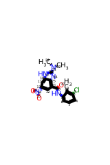 Cc1c(Cl)cccc1NC(=O)c1cc([N+](=O)[O-])cc2[nH]c(N(C)C)nc12